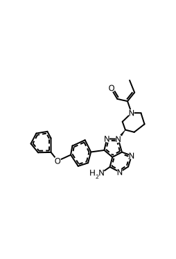 CC=C(C=O)N1CCC[C@@H](n2nc(-c3ccc(Oc4ccccc4)cc3)c3c(N)ncnc32)C1